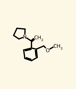 C=C(c1ccccc1COC)N1CCCC1